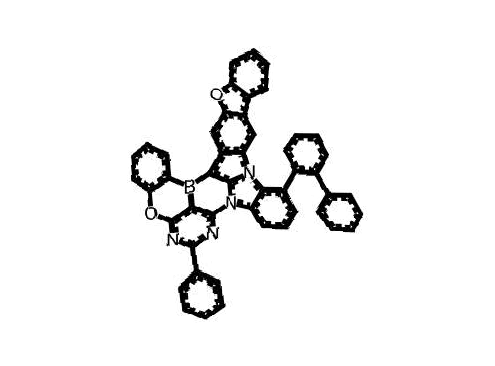 c1ccc(-c2nc3c4c(n2)-n2c5cccc(-c6ccccc6-c6ccccc6)c5n5c6cc7c(cc6c(c25)B4c2ccccc2O3)oc2ccccc27)cc1